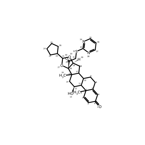 CC12C=CC(=O)C=C1CCC1C2[C@@H](O)CC2(C)C1C[C@@H]1OC(C3CCCC3)O[C@]12C(=O)CSc1ncccn1